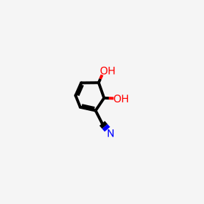 N#CC1=CC=CC(O)C1O